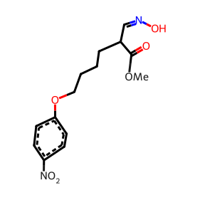 COC(=O)C(/C=N\O)CCCCOc1ccc([N+](=O)[O-])cc1